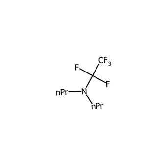 CCCN(CCC)C(F)(F)C(F)(F)F